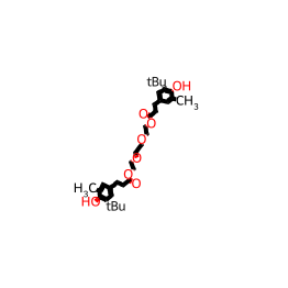 Cc1cc(CCC(=O)OCCOCCOCCOC(=O)CCc2cc(C)c(O)c(C(C)(C)C)c2)cc(C(C)(C)C)c1O